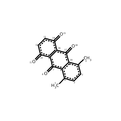 Cc1ccc(C)c2c(=O)c3c(=O)ccc(=O)c=3c(=O)c12